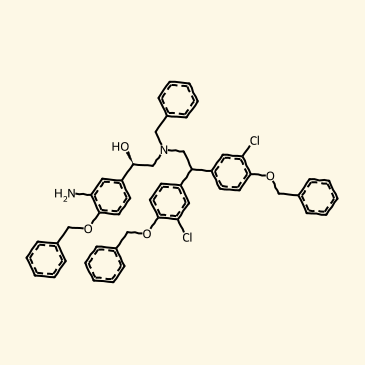 Nc1cc([C@@H](O)CN(Cc2ccccc2)CC(c2ccc(OCc3ccccc3)c(Cl)c2)c2ccc(OCc3ccccc3)c(Cl)c2)ccc1OCc1ccccc1